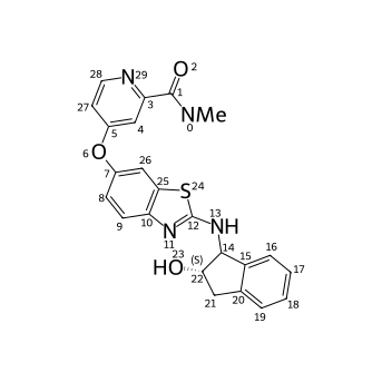 CNC(=O)c1cc(Oc2ccc3nc(NC4c5ccccc5C[C@@H]4O)sc3c2)ccn1